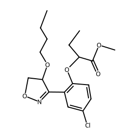 CCCCOC1CON=C1c1cc(Cl)ccc1OC(CC)C(=O)OC